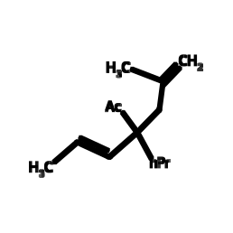 C=C(C)CC(C=CC)(CCC)C(C)=O